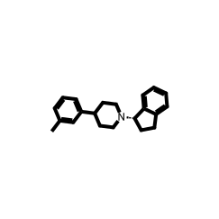 Cc1cccc(C2CCN([C@H]3CCc4ccccc43)CC2)c1